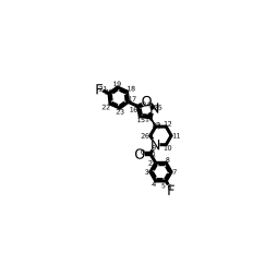 O=C(c1ccc(F)cc1)N1CCC[C@H](c2cc(-c3ccc(F)cc3)on2)C1